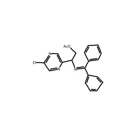 CC(=O)OCC(N=C(c1ccccc1)c1ccccc1)c1cnc(Cl)cn1